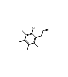 C=CCc1c(C)c(C)c(C)c(C)c1O